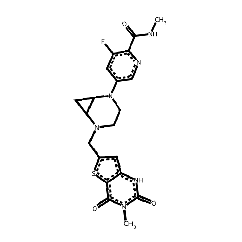 CNC(=O)c1ncc(N2CCN(Cc3cc4[nH]c(=O)n(C)c(=O)c4s3)C3CC32)cc1F